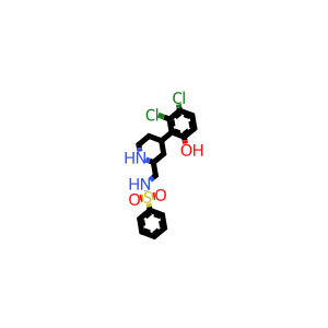 O=S(=O)(NCC1CC(c2c(O)ccc(Cl)c2Cl)CCN1)c1ccccc1